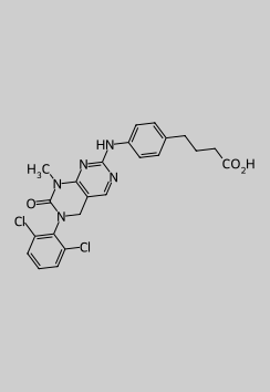 CN1C(=O)N(c2c(Cl)cccc2Cl)Cc2cnc(Nc3ccc(CCCC(=O)O)cc3)nc21